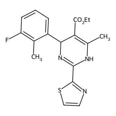 CCOC(=O)C1=C(C)NC(c2nccs2)=NC1c1cccc(F)c1C